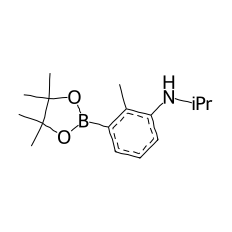 Cc1c(NC(C)C)cccc1B1OC(C)(C)C(C)(C)O1